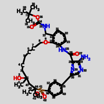 CC1(O)CCCCCCOc2c(CNC(=O)OC(C)(C)C)cccc2NC(=O)c2nc(cnc2N)-c2ccc(cc2)S(=O)(=O)C(C)(C)C1